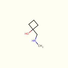 CNCC1(O)CCC1